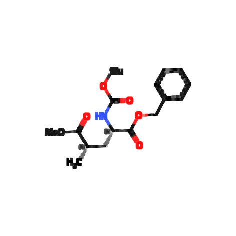 COC(=O)[C@@H](C)C[C@H](NC(=O)OC(C)(C)C)C(=O)OCc1ccccc1